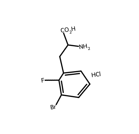 Cl.NC(Cc1cccc(Br)c1F)C(=O)O